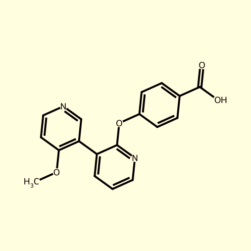 COc1ccncc1-c1cccnc1Oc1ccc(C(=O)O)cc1